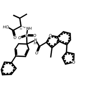 Cc1c(C(=O)NC2(S(=O)(=O)N[C@H](C(=O)O)C(C)C)C=CC(c3ccccc3)=CC2)oc2cccc(-c3ccoc3)c12